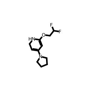 FC(F)COC1=CC(N2CCCC2)=CCN1